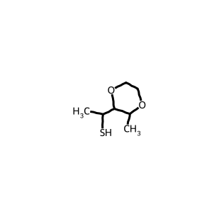 CC(S)C1OCCOC1C